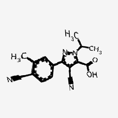 Cc1cc(-c2nn(C(C)C)c(C(=O)O)c2C#N)ccc1C#N